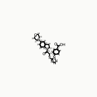 O=C(O)c1ccc(-n2nnnc2SCC(=O)N2CCc3cc(N4CCOCC4)ccc32)cc1